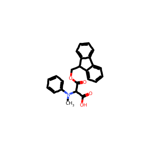 CN(c1ccccc1)C(C(=O)O)C(=O)OCC1c2ccccc2-c2ccccc21